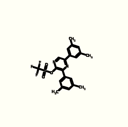 Cc1cc(C)cc(-c2cnc(OS(=O)(=O)C(F)(F)F)c(-c3cc(C)cc(C)c3)n2)c1